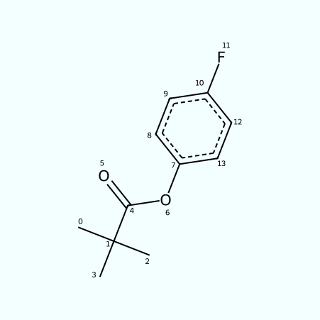 CC(C)(C)C(=O)Oc1ccc(F)cc1